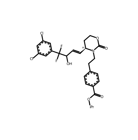 CC(C)OC(=O)c1ccc(CCN2C(=O)OCC[C@@H]2C=CC(O)C(F)(F)c2cc(Cl)cc(Cl)c2)cc1